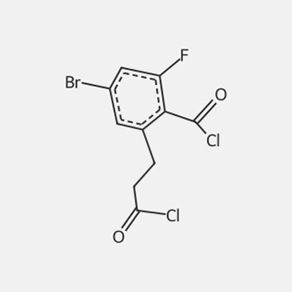 O=C(Cl)CCc1cc(Br)cc(F)c1C(=O)Cl